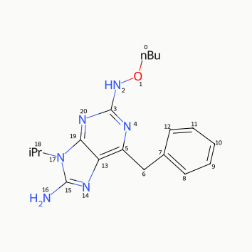 CCCCONc1nc(Cc2ccccc2)c2nc(N)n(C(C)C)c2n1